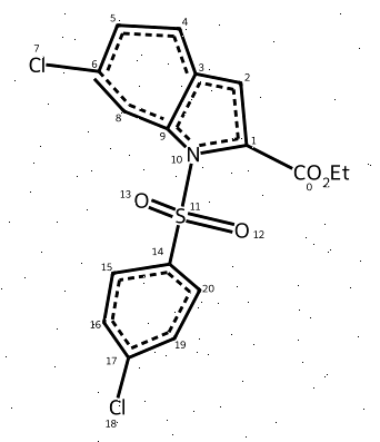 CCOC(=O)c1cc2ccc(Cl)cc2n1S(=O)(=O)c1ccc(Cl)cc1